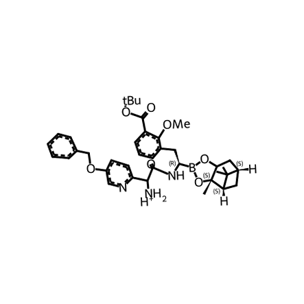 COc1c(C[C@H](NC(=O)C(N)c2ccc(OCc3ccccc3)cn2)B2OC3C[C@@H]4C[C@@H](C4(C)C)[C@]3(C)O2)cccc1C(=O)OC(C)(C)C.[H+]